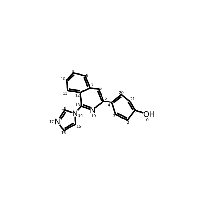 Oc1ccc(-c2cc3ccccc3c(-n3ccnc3)n2)cc1